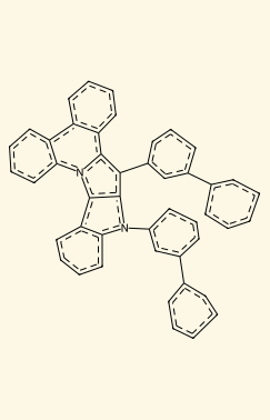 c1ccc(-c2cccc(-c3c4c(c5ccccc5n4-c4cccc(-c5ccccc5)c4)n4c5ccccc5c5ccccc5c34)c2)cc1